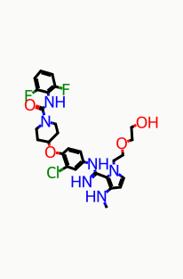 CNc1ccn(CCOCCO)c1C(=N)Nc1ccc(OC2CCN(C(=O)Nc3c(F)cccc3F)CC2)c(Cl)c1